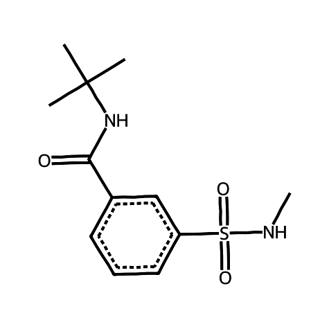 CNS(=O)(=O)c1cccc(C(=O)NC(C)(C)C)c1